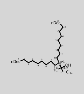 CCCCCCCCCCCCCCCCCC[N+](C)(CCCCCCCCCCCCCCCCCC)C(C)(O)O.[Cl-]